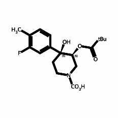 Cc1ccc([C@@]2(O)CCN(C(=O)O)C[C@@H]2OC(=O)C(C)(C)C)cc1F